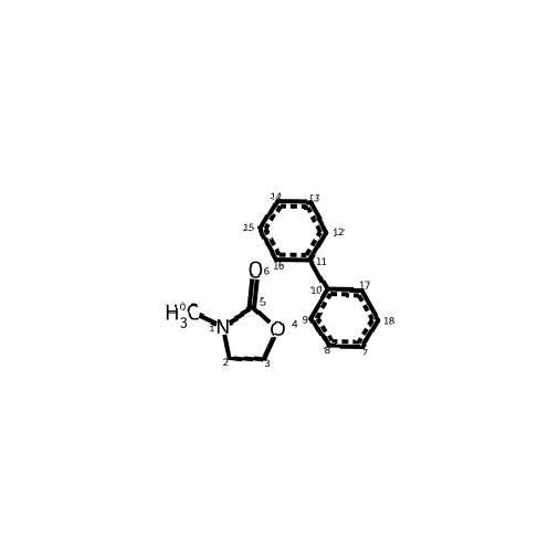 CN1CCOC1=O.c1ccc(-c2ccccc2)cc1